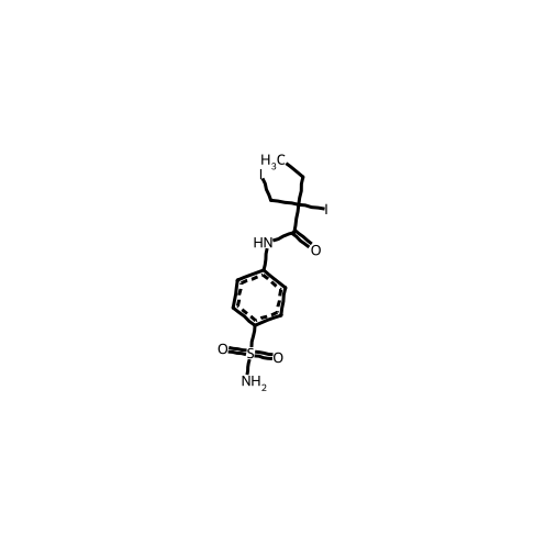 CCC(I)(CI)C(=O)Nc1ccc(S(N)(=O)=O)cc1